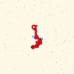 CCC1CCCCCCSCc2nn(CCOCCOCCC(=O)NC(C(=O)NCC(=O)Nc3ccc(C[C@@H](CN)NC(=O)[C@H](C)[C@@H](OC)[C@@H]4CCCN4C(=O)C[C@@H](OC)[C@H]([C@@H](C)CC)N(C)C(=O)CNC(=O)C(C(C)C)N(C)C)cc3)C(C)C)nc2CS1